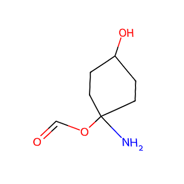 NC1(OC=O)CCC(O)CC1